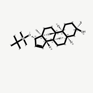 CC(C)(C)[Si](C)(C)O[C@H]1C=C[C@H]2[C@@H]3CC[C@@H]4C[C@](C)(O)CC[C@@H]4[C@H]3CC[C@]12C